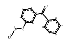 CCOOc1cccc(C(=O)c2ccccc2)c1